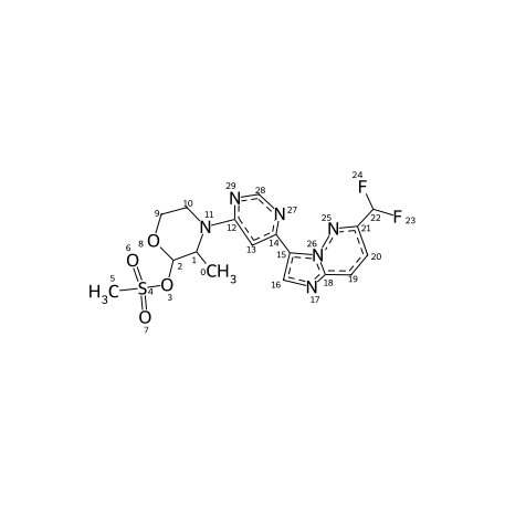 CC1C(OS(C)(=O)=O)OCCN1c1cc(-c2cnc3ccc(C(F)F)nn23)ncn1